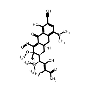 C#Cc1cc(N(C)C)c2c(c1O)C(=O)C1=C(N=O)[C@@](C=O)(ON)[C@H]([C@@H](/C(O)=C(\C)C(N)=O)N(C)C)C[C@@H]1C2